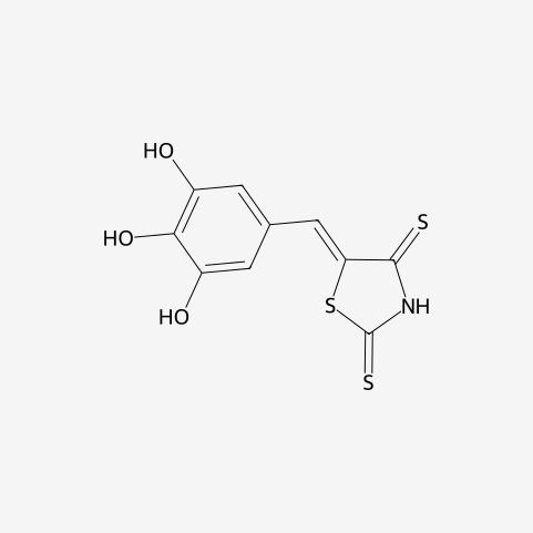 Oc1cc(/C=C2\SC(=S)NC2=S)cc(O)c1O